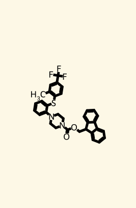 Cc1cc(C(F)(F)F)ccc1Sc1ccccc1N1CCN(C(=O)OCC2c3ccccc3-c3ccccc32)CC1